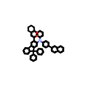 c1ccc(N(c2ccc(-c3ccc4ccccc4c3)cc2)c2cc3c(cc2-c2ccc4c(c2)CCCC4)-c2ccccc2C3(c2ccccc2)c2ccccc2)cc1